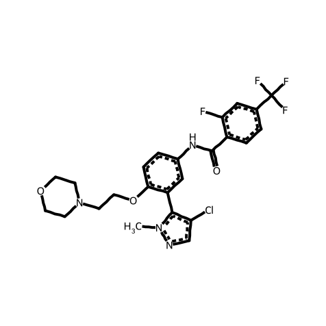 Cn1ncc(Cl)c1-c1cc(NC(=O)c2ccc(C(F)(F)F)cc2F)ccc1OCCN1CCOCC1